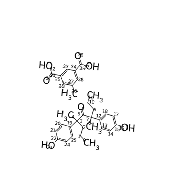 CCCC(C)(C(=O)C(C)(CCC)c1ccc(O)cc1)c1ccc(O)cc1.Cc1cc(C(=O)O)cc(C(=O)O)c1